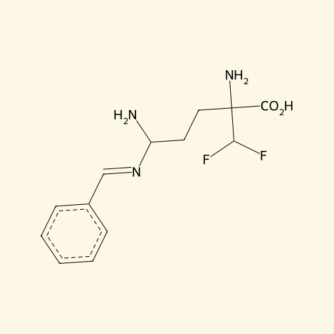 NC(CCC(N)(C(=O)O)C(F)F)/N=C/c1ccccc1